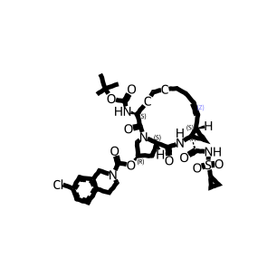 CC(C)(C)OC(=O)N[C@H]1CCCCC/C=C\[C@@H]2C[C@@]2(C(=O)NS(=O)(=O)C2CC2)NC(=O)[C@@H]2C[C@@H](OC(=O)N3CCc4ccc(Cl)cc4C3)CN2C1=O